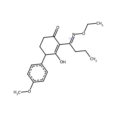 CCC/C(=N\OCC)C1=C(O)C(c2ccc(OC)cc2)CCC1=O